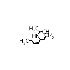 C=CC(/C=C\CC)NC(C)C